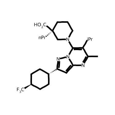 CCC[C@]1(C(=O)O)CCCN(c2c(C(C)C)c(C)nc3cc([C@H]4CC[C@H](C(F)(F)F)CC4)nn23)C1